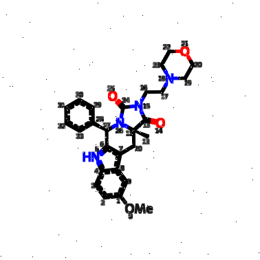 COc1ccc2[nH]c3c(c2c1)C[C@@]1(C)C(=O)N(CCN2CCOCC2)C(=O)N1[C@@H]3c1ccccc1